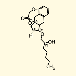 CCCCC[C@H](O)CO[C@@H]1C2Cc3cccc4c3C[C@H]2C[C@H]1OC(=O)CO4